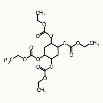 CCOC(=O)OC1CC(OC(=O)OCC)C(OC(=O)OCC)CC1OC(=O)OCC